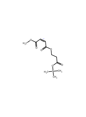 COC(=O)/C=C\C(=O)OCCC(=O)O[Si](C)(C)C